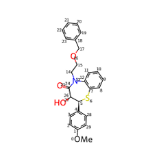 COc1ccc([C@@H]2Sc3ccccc3N(CCOCc3ccccc3)C(=O)[C@@H]2O)cc1